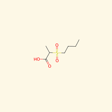 CCCCS(=O)(=O)C(C)C(=O)O